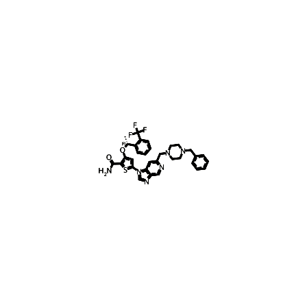 C[C@@H](Oc1cc(-n2cnc3cnc(CN4CCN(Cc5ccccc5)CC4)cc32)sc1C(N)=O)c1ccccc1C(F)(F)F